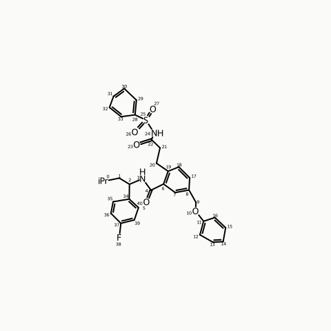 CC(C)CC(NC(=O)c1cc(COc2ccccc2)ccc1CCC(=O)NS(=O)(=O)c1ccccc1)c1ccc(F)cc1